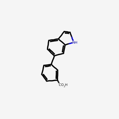 O=C(O)c1cccc(-c2ccc3cc[nH]c3c2)c1